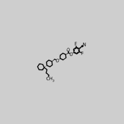 CCCCC1([C@H]2CC[C@H](CO[C@H]3CC[C@H](C(=O)Oc4cc(F)c(C#N)c(F)c4)CC3)CC2)CCCCC1